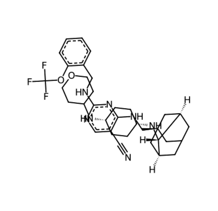 N#Cc1cnc(NCc2ccccc2OC(F)(F)F)nc1NC[C@]12CC3C[C@H](C1)[C@@H](N[C@H]1CC[C@@H](NC4CCOCC4)CC1)[C@@H](C3)C2